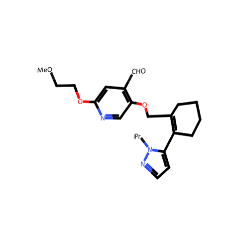 COCCOc1cc(C=O)c(OCC2=C(c3ccnn3C(C)C)CCCC2)cn1